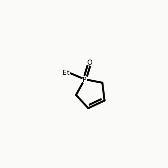 CCP1(=O)CC=CC1